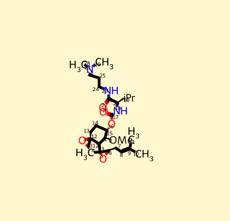 CO[C@H]1C(C2(C)O[C@@H]2CC=C(C)C)[C@]2(CC[C@H]1OC(=O)N[C@@H](C(=O)NCCCN(C)C)C(C)C)CO2